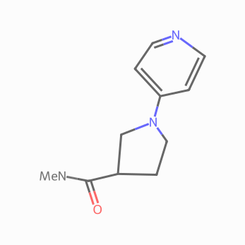 CNC(=O)C1CCN(c2ccncc2)C1